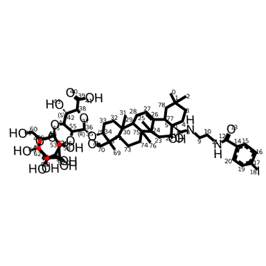 CC1(C)CC[C@]2(C(=O)NCCNC(=O)c3ccc(I)cc3)C(O)CC3(C)C(=CCC4C5(C)CC[C@H](O[C@@H]6OC(C(=O)O)[C@@H](O)C(O[C@@H]7OC[C@@H](O)C(O)C7O)C6O[C@@H]6OC(CO)[C@H](O)C(O)C6O)C(C)(C=O)C5CCC43C)C2C1